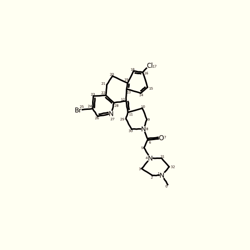 CN1CCN(CC(=O)N2CCC(=C3c4ccc(Cl)cc4CCc4cc(Br)cnc43)CC2)CC1